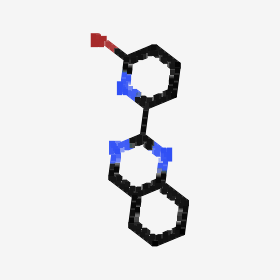 Brc1cccc(-c2ncc3ccccc3n2)n1